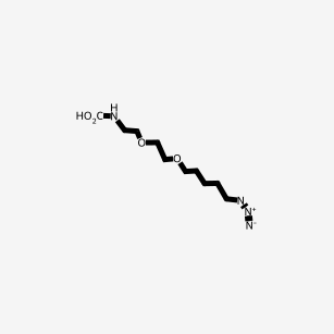 [N-]=[N+]=NCCCCCOCCOCCNC(=O)O